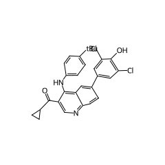 CC(C)(C)c1ccc(Nc2c(C(=O)C3CC3)cnc3ccc(-c4cc(Cl)c(O)c(Cl)c4)cc23)cc1